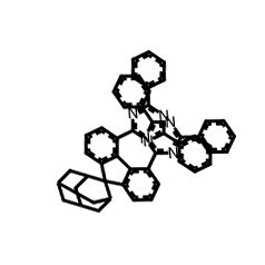 c1ccc(-c2nc(-c3ccccc3)nc(-c3cccc4c3-c3c(-c5nc(-c6ccccc6)nc(-c6ccccc6)n5)cccc3C43C4CC5CC(C4)CC3C5)n2)cc1